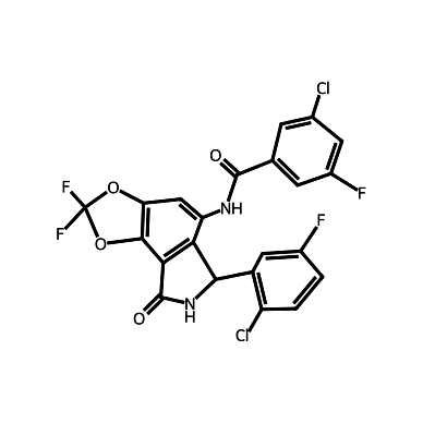 O=C(Nc1cc2c(c3c1C(c1cc(F)ccc1Cl)NC3=O)OC(F)(F)O2)c1cc(F)cc(Cl)c1